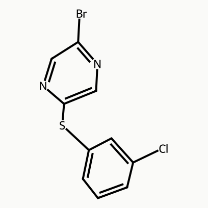 Clc1cccc(Sc2cnc(Br)cn2)c1